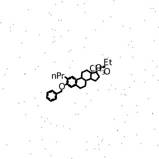 CCCc1cc2c(cc1OCc1ccccc1)CCC1C2CC[C@]2(C)C(OC(=O)CC)CCC12